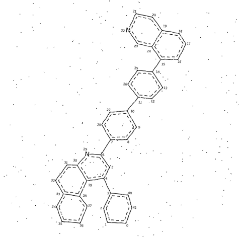 c1ccc(-c2cc(-c3ccc(-c4ccc(-c5cccc6ccncc56)cc4)cc3)nc3ccc4ccccc4c23)cc1